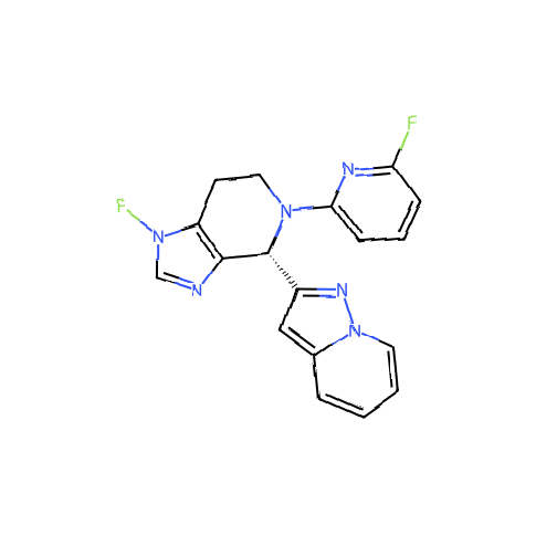 Fc1cccc(N2CCc3c(ncn3F)[C@H]2c2cc3ccccn3n2)n1